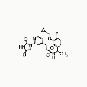 C[C@@H](NS(=O)(=O)CCc1ccnc(N2CC(=O)NC2=O)c1)c1ccc(F)c(OCC2CC2)c1